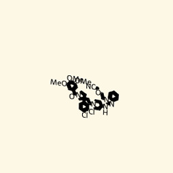 COc1cc(C(=O)N2CCC(CCN3CCC(Nc4nc5ccccc5n4CCOCC#N)CC3)(c3ccc(Cl)c(Cl)c3)C2)cc(OC)c1OC